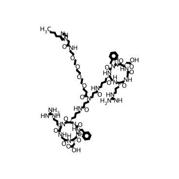 CCCCc1cn(CC(=O)NCCOCCOCCOCCOCCC(=O)N(CCC(=O)NCCCC[C@@H]2NC(=O)N(Cc3ccccc3)NC(=O)[C@H](CC(=O)O)NC(=O)CNC(=O)[C@H](CCCNC(=N)N)NC2=O)CCC(=O)NCCCC[C@@H]2NC(=O)N(Cc3ccccc3)NC(=O)[C@H](CC(=O)O)NC(=O)CNC(=O)[C@H](CCCNC(=N)N)NC2=O)nn1